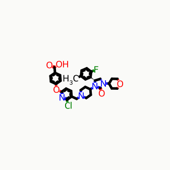 Cc1ccc(F)c([C@@H]2CN(C3CCOCC3)C(=O)N2C2CCN(Cc3ccc(Oc4ccc(C(=O)O)cc4)nc3Cl)CC2)c1